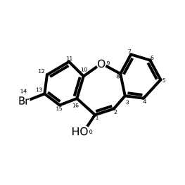 OC1=Cc2ccccc2Oc2ccc(Br)cc21